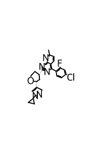 Cc1ccc2c(-c3ccc(Cl)cc3F)nc([C@H]3CCO[C@@H](c4cnn(C5CC5)c4)C3)nc2n1